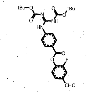 CC(C)(C)OC(=O)/N=C(/NC(=O)OC(C)(C)C)Nc1ccc(C(=O)Oc2ccc(C=O)cc2F)cc1